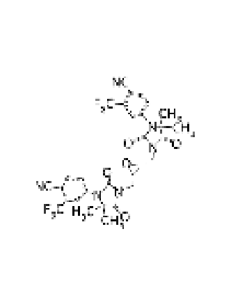 CC1(C)C(=O)N(C[C@@H]2O[C@@H]2CN2C(=O)N(c3ccc(C#N)c(C(F)(F)F)c3)C(C)(C)C2=O)C(=O)N1c1ccc(C#N)c(C(F)(F)F)c1